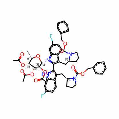 CC(=O)O[C@@H]1[C@H](OC(C)=O)[C@H](C)O[C@H](n2c(-c3[nH]c4cc(F)ccc4c3C[C@@H]3CCCN3C(=O)OCc3ccccc3)c(C[C@@H]3CCCN3C(=O)OCc3ccccc3)c3ccc(F)cc32)[C@H]1OC(C)=O